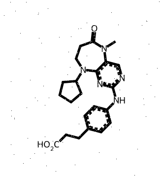 CN1C(=O)CCN(C2CCCC2)c2nc(Nc3ccc(CCC(=O)O)cc3)ncc21